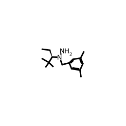 CC[C@@H](N(N)Cc1cc(C)cc(C)c1)C(C)(C)C